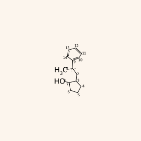 C[C](CC1CCCC1O)c1ccccc1